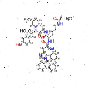 CCCCCCCC(=O)NCCCCC(NC(=O)C(N)Cc1cn(C(c2ccccc2)(c2ccccc2)c2ccccc2)cn1)C(=O)NC(Cc1ccc(C(F)(F)F)cc1)C(=O)NC(Cc1ccc(O)cc1)C(=O)O